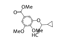 C#CC(Oc1cc(C(=O)OC)cc(OC)c1OC)C1CC1